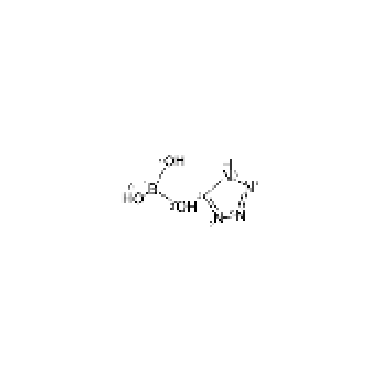 OB(O)O.c1nnn[nH]1